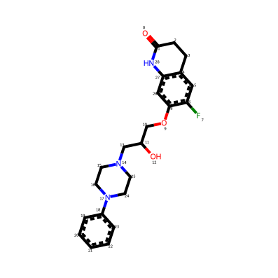 O=C1CCc2cc(F)c(OCC(O)CN3CCN(c4ccccc4)CC3)cc2N1